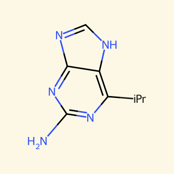 CC(C)c1nc(N)nc2nc[nH]c12